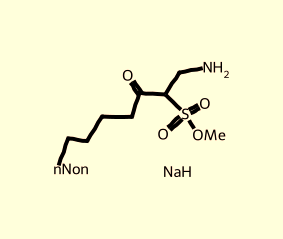 CCCCCCCCCCCCCC(=O)C(CN)S(=O)(=O)OC.[NaH]